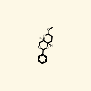 CO[C@@H]1CC[C@@H]2OC(c3ccccc3)OC[C@H]2O1